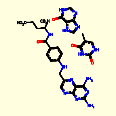 Cc1c[nH]c(=O)[nH]c1=O.Nc1nc(N)c2nc(CNc3ccc(C(=O)NC(CCC(=O)O)C(=O)O)cc3)cnc2n1.O=c1[nH]cnc2nc[nH]c12